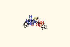 Cc1ccc(S(=O)(=O)OC(=O)C2N3C(=O)C(Nc4nc5ccccc5[nH]4)C3SC2(C)C)cc1